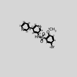 COc1ccc(Br)cc1S(=O)(=O)Nc1cncc(-c2cccnc2)c1